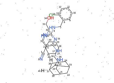 N#Cc1cnc(NCc2ccccc2Cl)nc1NCC12CC3CC(C1)[C@H](N[C@H]1CC[C@@H](NCCO)CC1)[C@@H](C3)C2